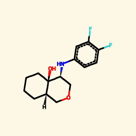 O[C@]12CCCC[C@@H]1COC[C@H]2Nc1ccc(F)c(F)c1